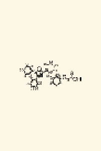 O=C(O)COc1cccc(C[C@H]2CCCC[C@@H]2c2nc(-c3ccccc3)c(-c3ccccc3)o2)c1